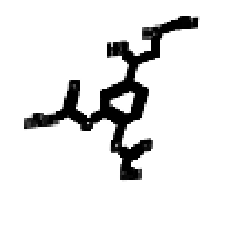 CCCCCCCCCC(=O)Oc1cc(C(O)CNC(C)(C)C)ccc1OC(=O)C(C)(C)C